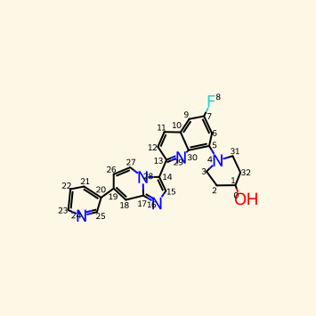 OC1CCN(c2cc(F)cc3ccc(-c4cnc5cc(-c6cccnc6)ccn45)nc23)CC1